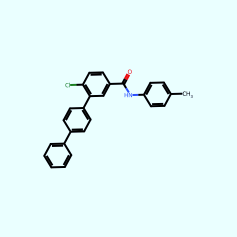 Cc1ccc(NC(=O)c2ccc(Cl)c(-c3ccc(-c4ccccc4)cc3)c2)cc1